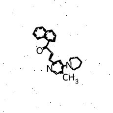 Cc1cnc(/C=C/C(=O)c2cccc3ccccc23)cc1N1CCCCC1